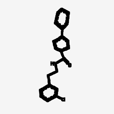 O=C(NCCc1cccc(Cl)c1)c1ccc(-c2ccccc2)cc1